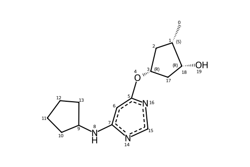 C[C@H]1C[C@@H](Oc2cc(NC3CCCC3)ncn2)C[C@H]1O